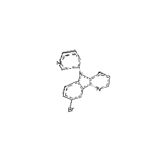 Brc1ccc2c(c1)c1ncccc1n2-c1cccnc1